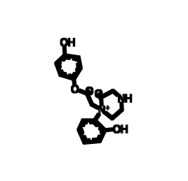 O=C(C[N+]1(c2ccccc2O)CCNCC1=O)Oc1ccc(O)cc1